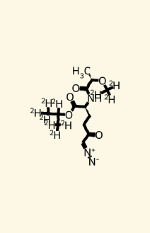 [2H]C([2H])([2H])O[C@@H](C)C(=O)N[C@@H](CCC(=O)C=[N+]=[N-])C(=O)OC([2H])(C([2H])([2H])[2H])C([2H])([2H])[2H]